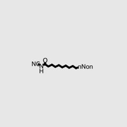 CCCCCCCCCCCCCCCCCCC(=O)NC#N